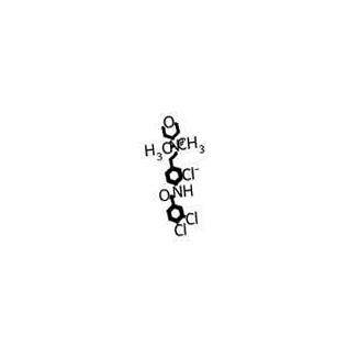 C[N+](C)(CCc1ccc(NC(=O)c2ccc(Cl)c(Cl)c2)cc1)C1CCOCC1.[Cl-]